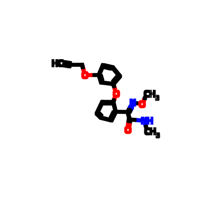 C#CCOc1cccc(Oc2ccccc2C(=NOC)C(=O)NC)c1